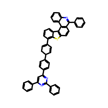 C1=CC(c2ccc(-c3cc(-c4ccccc4)nc(-c4ccccc4)n3)cc2)CC=C1c1cccc2c1sc1ccc3c(-c4ccccc4)nc4ccccc4c3c12